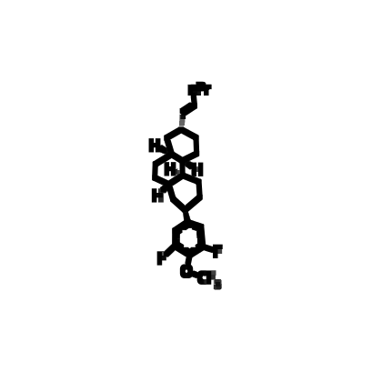 CCCC=C[C@@H]1CC[C@H]2[C@H](CC[C@H]3C[C@H](c4cc(F)c(OC(F)(F)F)c(F)c4)CC[C@@H]32)C1